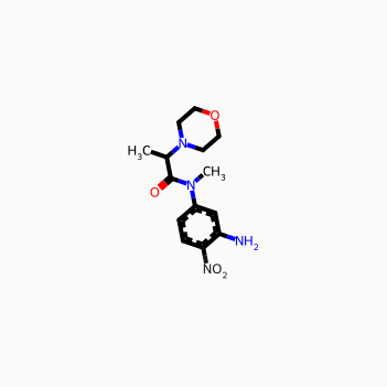 CC(C(=O)N(C)c1ccc([N+](=O)[O-])c(N)c1)N1CCOCC1